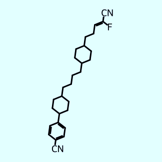 N#CC(F)=CCCC1CCC(CCCCC2CCC(c3ccc(C#N)cc3)CC2)CC1